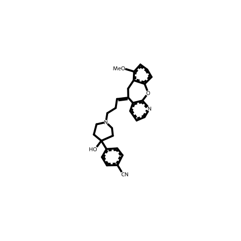 COc1cccc2c1C/C(=C/CCN1CCC(O)(c3ccc(C#N)cc3)CC1)c1cccnc1O2